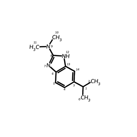 CC(C)c1ccc2nc(N(C)C)[nH]c2c1